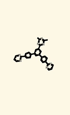 Cc1nc(C)nc(-c2cc(-c3ccc(-c4ncccn4)cc3)cc(-c3ccc(-c4ncccn4)cc3)c2)n1